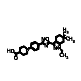 CCn1nc(-c2nc(-c3ccc(N4CCC(C(=O)O)CC4)cc3)no2)c2c1CC(C)(C)CC2